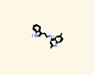 Cc1ccc2nc(C)cc(NCCc3c[nH]c4ccccc34)c2c1